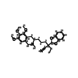 CCC(C#N)(CCCC1Cc2c(cc(OC)c(OC)c2OC)CN1C)C1Oc2ccccc2O1